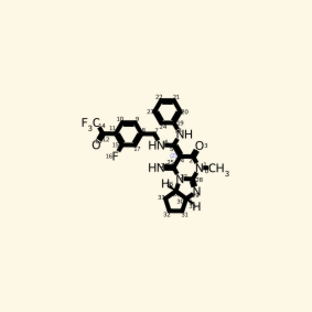 Cn1c(=O)/c(=C(/NCc2ccc(C(=O)C(F)(F)F)c(F)c2)Nc2ccccc2)c(=N)n2c1=N[C@@H]1CCC[C@@H]12